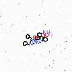 CC(C)(C)[C@@]1(OC(N)=O)CCCC[C@@H]1n1cnc(C(=O)N2CCN(Cc3ccccc3)C[C@H]2Cc2ccccc2)c1-c1ccccc1